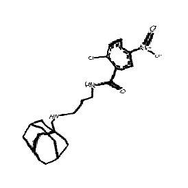 O=C(NCCCNC12CC3CC(CC(C3)C1)C2)c1cc([N+](=O)[O-])ccc1Cl